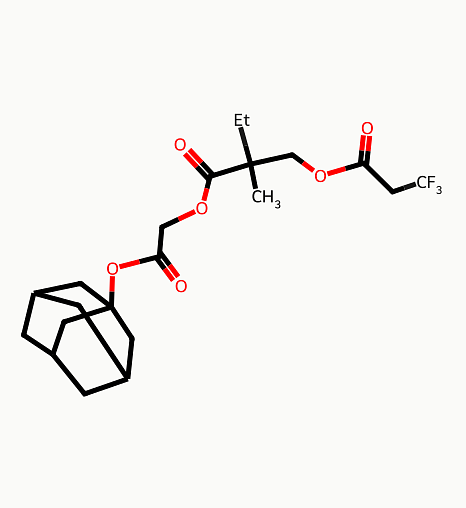 CCC(C)(COC(=O)CC(F)(F)F)C(=O)OCC(=O)OC12CC3CC(CC(C3)C1)C2